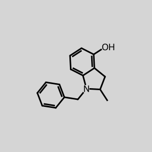 CC1Cc2c(O)cccc2N1Cc1ccccc1